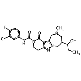 CCC(O)C1CN(C)Cc2c3c(nn2C1)CCN(C(=O)Nc1ccc(F)c(Cl)c1)C3=O